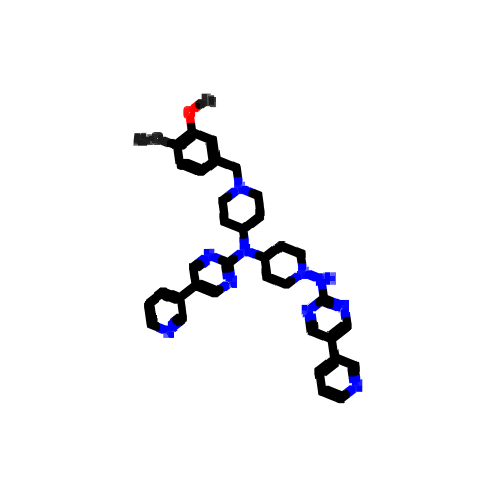 CCOc1cc(CN2CCC(N(c3ncc(-c4cccnc4)cn3)C3CCN(Nc4ncc(-c5cccnc5)cn4)CC3)CC2)ccc1OC